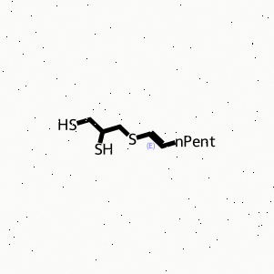 CCCCC/C=C/SCC(S)CS